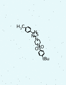 Cc1ccc(-c2nsc(N3CCN(S(=O)(=O)c4ccc(C(C)(C)C)cc4)CC3)n2)cc1